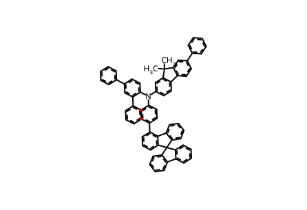 CC1(C)c2cc(-c3ccccc3)ccc2-c2ccc(N(c3ccc(-c4cccc5c4-c4ccccc4C54c5ccccc5-c5ccccc54)cc3)c3ccc(-c4ccccc4)cc3-c3ccccc3)cc21